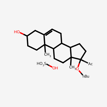 CCCCOC1(C(C)=O)CCC2C3CC=C4CC(O)CCC4(C)C3CCC21C.O=S(=O)(O)O